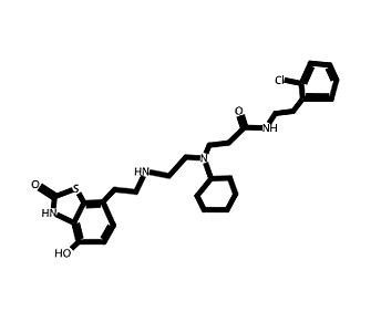 O=C(CCN(CCNCCc1ccc(O)c2[nH]c(=O)sc12)C1CCCCC1)NCCc1ccccc1Cl